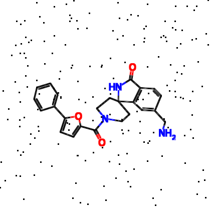 NCc1ccc2c(c1)C1(CCN(C(=O)c3ccc(-c4ccccc4)o3)CC1)NC2=O